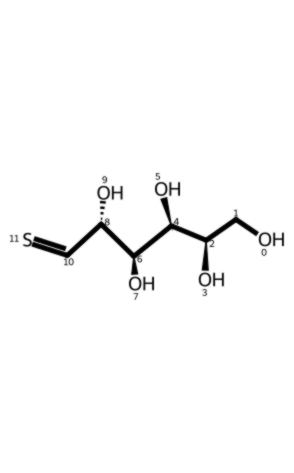 OC[C@@H](O)[C@H](O)[C@@H](O)[C@@H](O)C=S